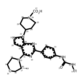 CCNC(=O)Nc1ccc(-c2nc(N3CCOC[C@H]3C)c3cnn(C4CCN(C(=O)O)CC4)c3n2)cc1